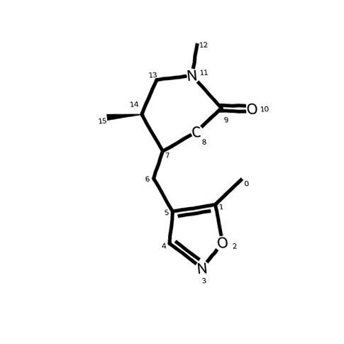 Cc1oncc1CC1CC(=O)N(C)C[C@@H]1C